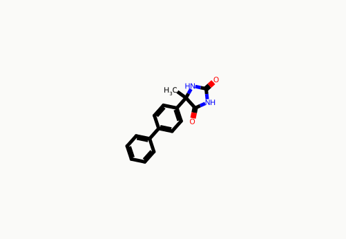 CC1(c2ccc(-c3ccccc3)cc2)NC(=O)NC1=O